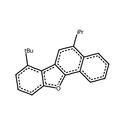 CC(C)c1cc2c(oc3cccc(C(C)(C)C)c32)c2ccccc12